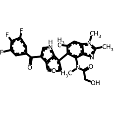 Cc1cc2c(nc(C)n2C)c(N(C)C(=O)CO)c1-c1cccc2c(C(=O)c3cc(F)c(F)c(F)c3)c[nH]c12